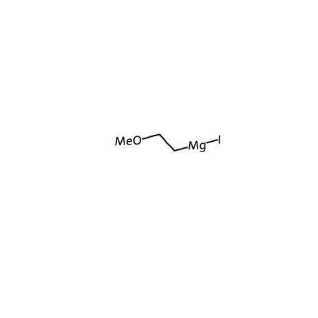 COC[CH2][Mg][I]